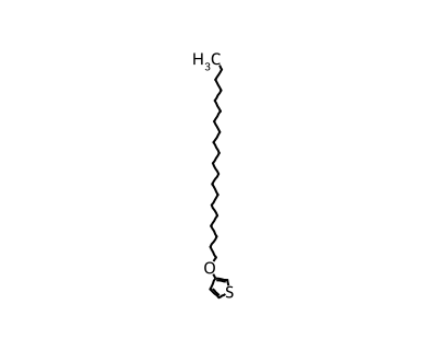 CCCCCCCCCCCCCCCCCCCCOc1ccsc1